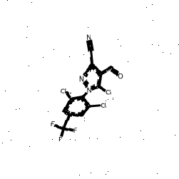 N#Cc1nn(-c2c(Cl)cc(C(F)(F)F)cc2Cl)c(Cl)c1C=O